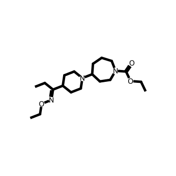 CCON=C(CC)C1CCN(C2CCCN(C(=O)OCC)CC2)CC1